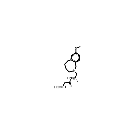 CSc1ccc2c(c1)CCCCN(C[C@H](C)NC(=O)CNO)C2